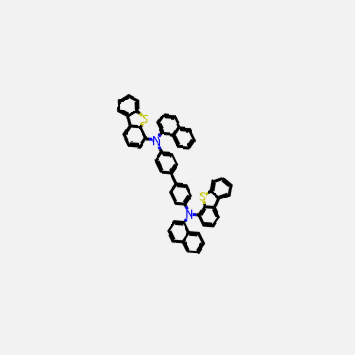 C1=CC(N(c2ccc(-c3ccc(N(c4cccc5ccccc45)c4cccc5c4sc4ccccc45)cc3)cc2)c2cccc3ccccc23)C2Sc3ccccc3C2=C1